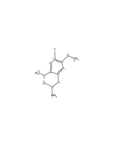 COc1cc(CC(N)Cl)c(OC)cc1I